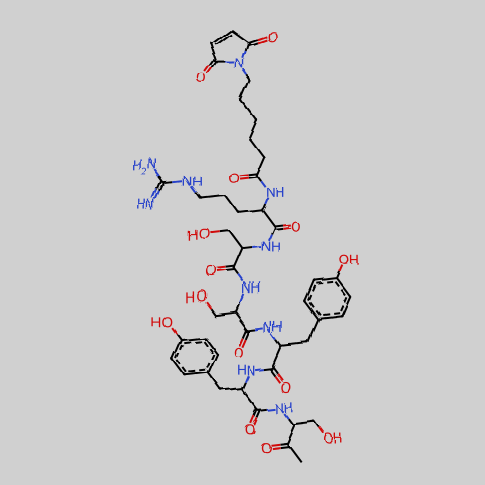 CC(=O)C(CO)NC(=O)C(Cc1ccc(O)cc1)NC(=O)C(Cc1ccc(O)cc1)NC(=O)C(CO)NC(=O)C(CO)NC(=O)C(CCCNC(=N)N)NC(=O)CCCCCN1C(=O)C=CC1=O